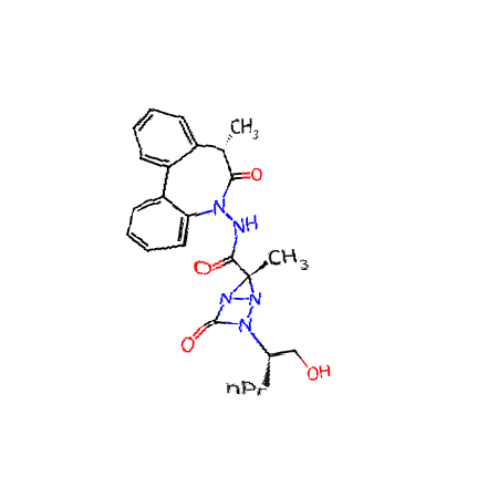 CCC[C@H](CO)n1c(=O)n2n1[C@@]2(C)C(=O)NN1C(=O)[C@@H](C)c2ccccc2-c2ccccc21